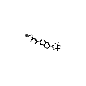 C/C(=C\C(=O)OC(C)(C)C)c1ccc2cc(B3OC(C)(C)C(C)(C)O3)ccc2c1